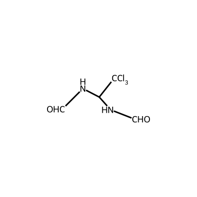 O=CNC(NC=O)C(Cl)(Cl)Cl